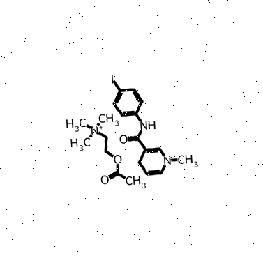 CC(=O)OCC[N+](C)(C)C.CN1C=CCC(C(=O)Nc2ccc(I)cc2)=C1